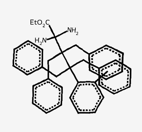 CCOC(=O)C(N)(N)C(Cc1ccccc1)(Cc1ccccc1)C(Cc1ccccc1)(Cc1ccccc1)c1ccccc1C